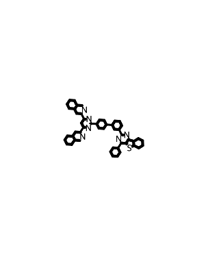 c1ccc(-c2nc(-c3cccc(-c4ccc(-c5nc(-c6cc7ccccc7cn6)cc(-c6cc7ccccc7cn6)n5)cc4)c3)nc3c2sc2ccccc23)cc1